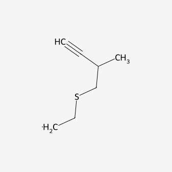 C#CC(C)CSC[CH2]